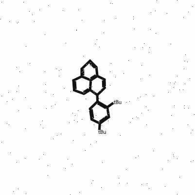 CC(C)(C)c1ccc(C2C=Cc3cccc4cccc2c34)c(C(C)(C)C)c1